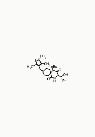 CCCCN1C(=O)[C@@H]([C@H](O)C(C)C)NC(=O)C12CCN(Cc1c(C)nn(C)c1C)CC2